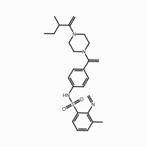 C=Nc1c(C)cccc1S(=O)(=O)Nc1ccc(C(=C)N2CCN(C(=C)C(C)CC)CC2)cc1